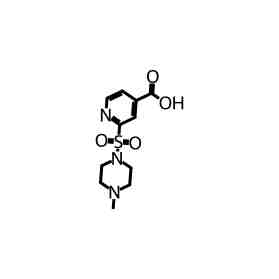 CN1CCN(S(=O)(=O)c2cc(C(=O)O)ccn2)CC1